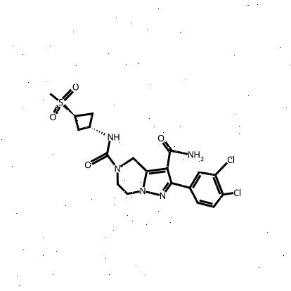 CS(=O)(=O)[C@H]1C[C@H](NC(=O)N2CCn3nc(-c4ccc(Cl)c(Cl)c4)c(C(N)=O)c3C2)C1